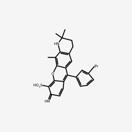 Cc1c2c(cc3c(-c4cccc(C(C)C)c4)c4ccc(=N)c(S(=O)(=O)O)c-4oc13)CCC(C)(C)N2